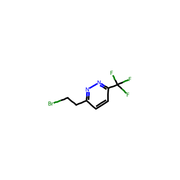 FC(F)(F)c1ccc(CCBr)nn1